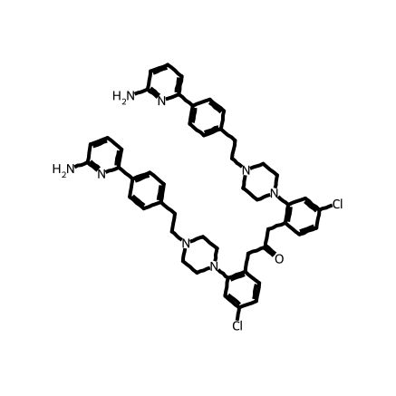 Nc1cccc(-c2ccc(CCN3CCN(c4cc(Cl)ccc4CC(=O)Cc4ccc(Cl)cc4N4CCN(CCc5ccc(-c6cccc(N)n6)cc5)CC4)CC3)cc2)n1